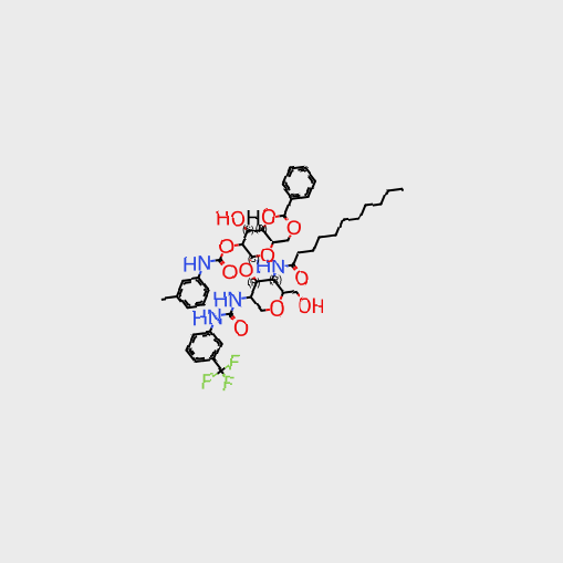 CCCCCCCCCCC(=O)N[C@H]1C(CO)OCC(NC(=O)Nc2cccc(C(F)(F)F)c2)[C@H]1O[C@H]1OC2COC(c3ccccc3)O[C@@H]2[C@H](O)C1OC(=O)Nc1cccc(C)c1